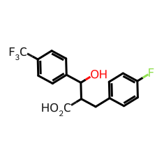 O=C(O)C(Cc1ccc(F)cc1)C(O)c1ccc(C(F)(F)F)cc1